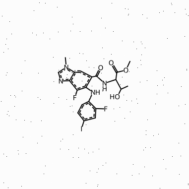 COC(=O)C(NC(=O)c1cc2c(ncn2C)c(F)c1Nc1ccc(I)cc1F)C(C)O